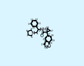 O=C(NC(CN1CCCC1)c1ccccc1)C1(c2ccc3oncc3c2)CC1